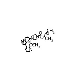 COC[C@H](C)OC(=O)N1CCN(c2ccn3ncc(-c4cccnc4OC)c3n2)CC1